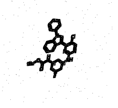 CN1C[C@@H](NC(=O)OC(C)(C)C)C[C@@H](Nc2ncc(Cl)c(-c3cn(-c4ccccc4)c4ccccc34)n2)C1